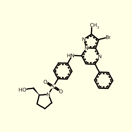 Cc1nn2c(Nc3ccc(S(=O)(=O)N4CCC[C@H]4CO)cc3)cc(-c3ccccc3)nc2c1Br